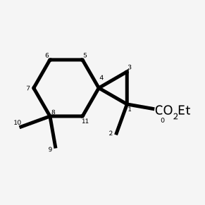 CCOC(=O)C1(C)CC12CCCC(C)(C)C2